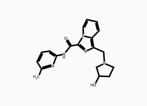 Cc1cccc(NC(=O)c2nc(CN3CCC(O)C3)c3ccccn23)n1